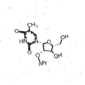 CCCO[C@H]1C(O)[C@@H](CO)O[C@H]1n1cc(C)c(=O)[nH]c1=O